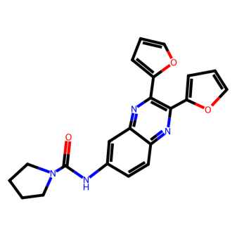 O=C(Nc1ccc2nc(-c3ccco3)c(-c3ccco3)nc2c1)N1CCCC1